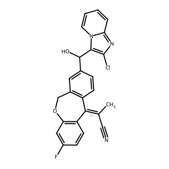 C/C(C#N)=C1\c2ccc(C(O)c3c(Cl)nc4ccccn34)cc2COc2cc(F)ccc21